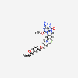 CCCCOc1nc(N)c2[nH]c(=O)n(Cc3ccc(N4CCC(COCc5cccc(CC(=O)OC)c5)CC4)c(F)c3)c2n1